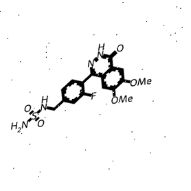 COc1cc2c(-c3ccc(CNS(N)(=O)=O)cc3F)n[nH]c(=O)c2cc1OC